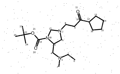 CCN(C)CC1CN(CCC(=O)C2CCCC2)CN1C(=O)OC(C)(C)C